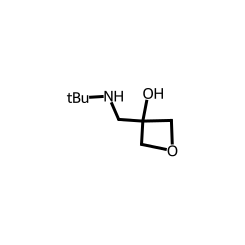 CC(C)(C)NCC1(O)COC1